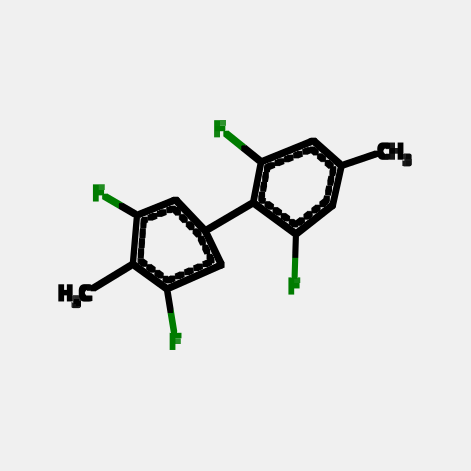 Cc1cc(F)c(-c2cc(F)c(C)c(F)c2)c(F)c1